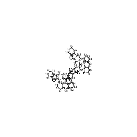 c1ccc2c(N(c3ccc4c(c3)oc3ccccc34)c3cnc4c(c3)oc3nc(N(c5ccc6c(c5)oc5ccccc56)c5c6ccccc6cc6ccccc56)ncc34)c3ccccc3cc2c1